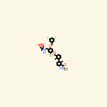 CCNC(=O)c1cccc(-c2cccc(COc3cc(OCc4cc(F)cc(F)c4)c(CNC(C)(CO)CO)cc3Cl)c2C)c1C